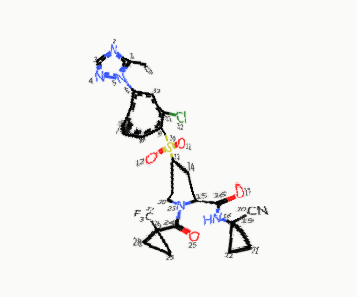 Cc1ncnn1-c1ccc(S(=O)(=O)C2C[C@@H](C(=O)NC3(C#N)CC3)N(C(=O)C3(C(F)(F)F)CC3)C2)c(Cl)c1